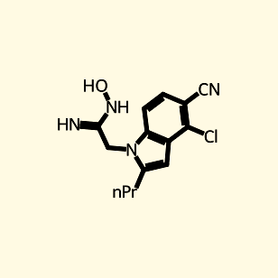 CCCc1cc2c(Cl)c(C#N)ccc2n1CC(=N)NO